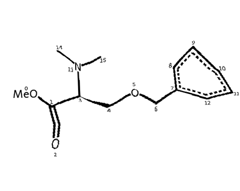 COC(=O)[C@H](COCc1ccccc1)N(C)C